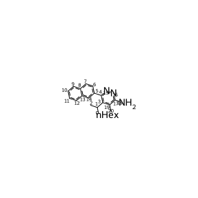 CCCCCCC(C)c1c(-c2ccc3ccccc3c2)nnc(N)c1C